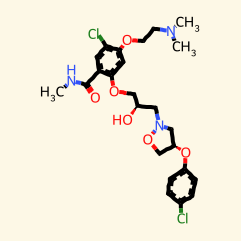 CNC(=O)c1cc(Cl)c(OCCN(C)C)cc1OC[C@H](O)CN1C[C@@H](Oc2ccc(Cl)cc2)CO1